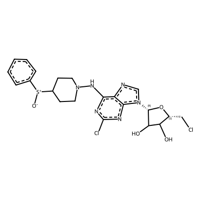 [O-][S+](c1ccccc1)C1CCN(Nc2nc(Cl)nc3c2ncn3[C@@H]2O[C@H](CCl)C(O)C2O)CC1